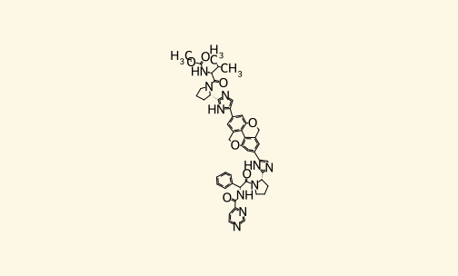 COC(=O)N[C@H](C(=O)N1CCC[C@H]1c1ncc(-c2cc3c4c(c2)OCc2cc(-c5cnc([C@@H]6CCCN6C(=O)[C@H](NC(=O)c6ccncn6)c6ccccc6)[nH]5)cc(c2-4)OC3)[nH]1)C(C)C